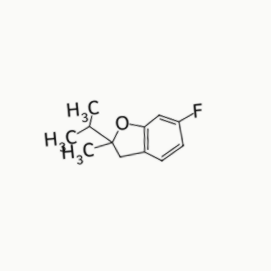 CC(C)C1(C)Cc2ccc(F)cc2O1